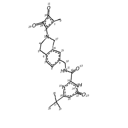 Cc1c(N2CCc3ccc(CNC(=O)c4nc(C(C)(C)C)cc(=O)[nH]4)cc3C2)c(=O)c1=O